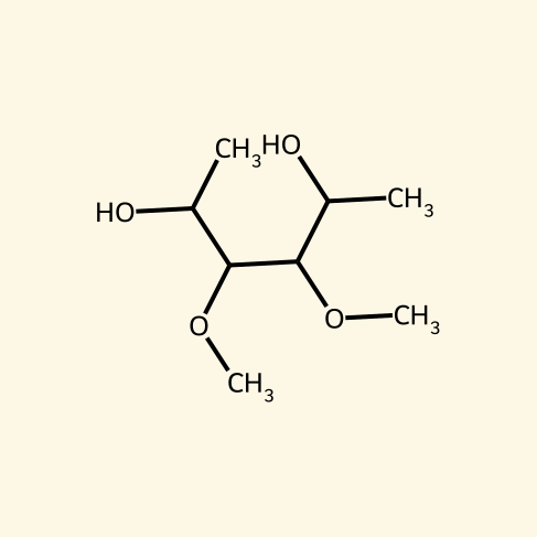 COC(C(C)O)C(OC)C(C)O